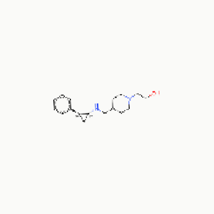 OCCN1CCC(CN[C@@H]2C[C@H]2c2ccccc2)CC1